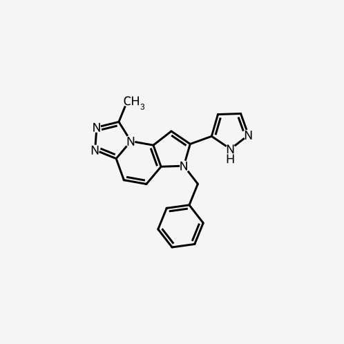 Cc1nnc2ccc3c(cc(-c4ccn[nH]4)n3Cc3ccccc3)n12